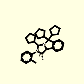 Cc1ccccc1N1C(C2CCCC2)N2C(c3ccccc3C2(C2CCCC2)C2CCCC2)[C@@H]1C